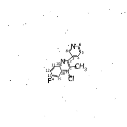 Cc1c(-c2cccnc2)nc2ccc(F)cc2c1Cl